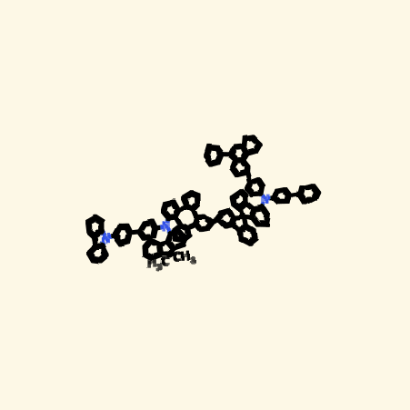 CC1(C)c2ccccc2-c2c(N(c3ccc(-c4ccc(-n5c6ccccc6c6ccccc65)cc4)cc3)c3cccc4c3-c3ccccc3-c3ccc(-c5ccc6c(c5)-c5ccccc5C65c6ccccc6-c6c(N(c7ccc(-c8ccccc8)cc7)c7ccc(-c8ccc9c(-c%10ccccc%10)cc%10ccccc%10c9c8)cc7)cccc65)cc3-c3ccccc3-4)cccc21